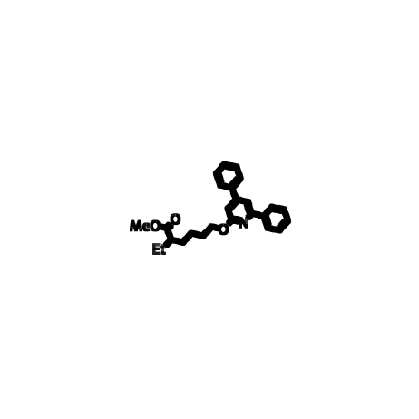 CCC(CCCCOc1cc(-c2ccccc2)cc(-c2ccccc2)n1)C(=O)OC